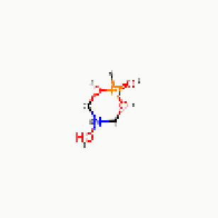 CP1(=O)OCN(O)CO1